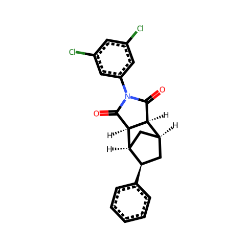 O=C1[C@@H]2[C@H]3C[C@H](C[C@H]3c3ccccc3)[C@@H]2C(=O)N1c1cc(Cl)cc(Cl)c1